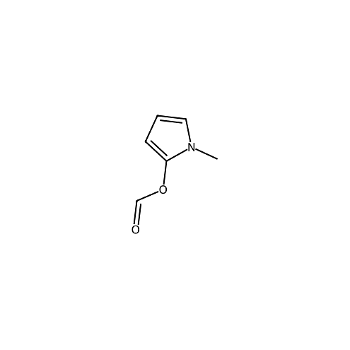 Cn1cccc1OC=O